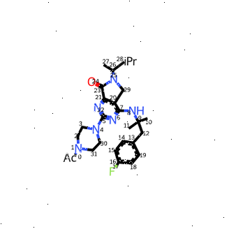 CC(=O)N1CCN(c2nc(NC(C)(C)Cc3ccc(F)cc3)c3c(n2)C(=O)N(C(C)C(C)C)C3)CC1